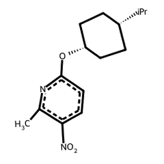 Cc1nc(O[C@H]2CC[C@@H](C(C)C)CC2)ccc1[N+](=O)[O-]